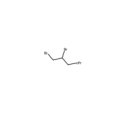 CCCCC(Br)[CH]Br